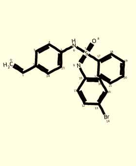 C=Cc1ccc(NS(=O)(=Nc2ccc(Br)cc2)c2ccccc2)cc1